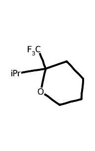 CC(C)C1(C(F)(F)F)CCCCO1